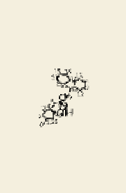 Cc1ccc([CH]C(=O)OCC2c3ccccc3-c3ccccc32)c(O)c1